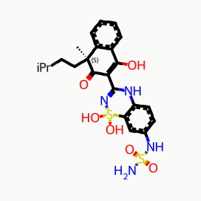 CC(C)CC[C@]1(C)C(=O)C(C2=NS(O)(O)c3cc(NS(N)(=O)=O)ccc3N2)=C(O)c2ccccc21